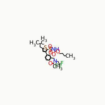 CCCCOC(=O)NS(=O)(=O)c1sc(CC(C)C)cc1-c1cccc(CN(CC(F)(F)F)C(C)=O)c1